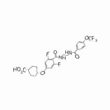 O=C(NCCNC(=O)c1c(F)cc(O[C@H]2CC[C@@H](C(=O)O)CC2)cc1F)c1ccc(OC(F)(F)F)cc1